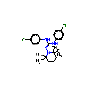 CC1(C)CCCC(C)(C)N1N=C(Nc1ccc(Cl)cc1)Nc1ccc(Cl)cc1